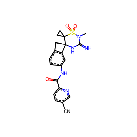 CN1C(=N)N[C@@]2(Cc3ccc(NC(=O)c4ccc(C#N)cn4)cc32)C2(CC2)S1(=O)=O